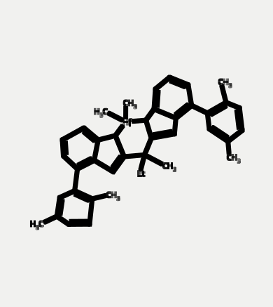 CCC1(C)C2=Cc3c(-c4cc(C)ccc4C)cccc3[CH]2[Hf]([CH3])([CH3])[CH]2C1=Cc1c(-c3cc(C)ccc3C)cccc12